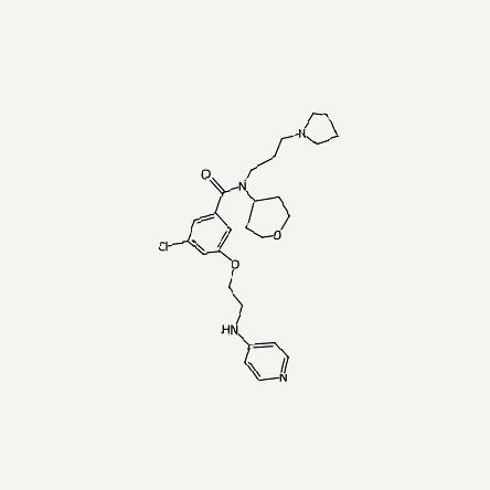 O=C(c1cc(Cl)cc(OCCNc2ccncc2)c1)N(CCCN1CCCC1)C1CCOCC1